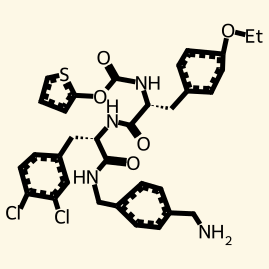 CCOc1ccc(C[C@@H](NC(=O)Oc2cccs2)C(=O)N[C@@H](Cc2ccc(Cl)c(Cl)c2)C(=O)NCc2ccc(CN)cc2)cc1